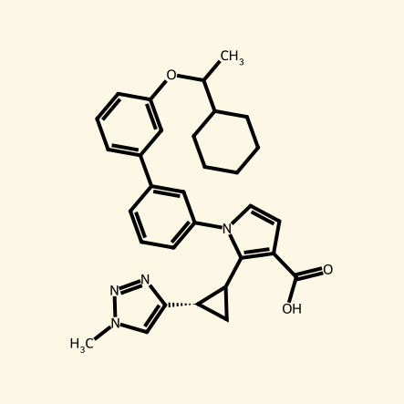 CC(Oc1cccc(-c2cccc(-n3ccc(C(=O)O)c3C3C[C@@H]3c3cn(C)nn3)c2)c1)C1CCCCC1